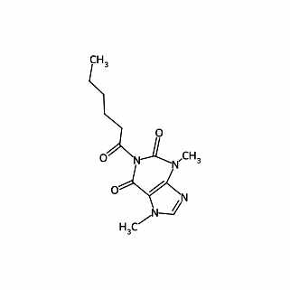 CCCCCC(=O)n1c(=O)c2c(ncn2C)n(C)c1=O